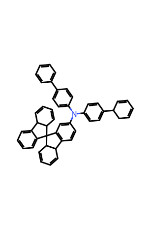 C1=CCC(c2ccc(N(c3ccc(-c4ccccc4)cc3)c3ccc4c(c3)C3(c5ccccc5C5C=CC=CC53)C3C=CC=CC43)cc2)C=C1